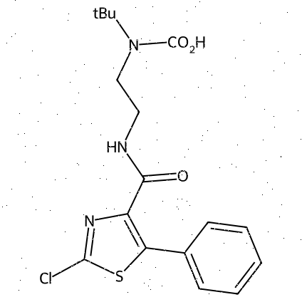 CC(C)(C)N(CCNC(=O)c1nc(Cl)sc1-c1ccccc1)C(=O)O